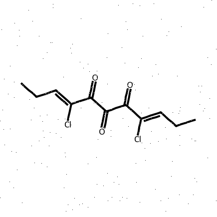 CC/C=C(\Cl)C(=O)C(=O)C(=O)/C(Cl)=C/CC